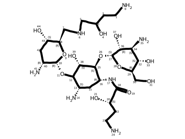 NCCC(O)CNC[C@H]1O[C@H](OC2[C@@H](N)C[C@@H](NC(=O)[C@@H](O)CCN)[C@H](O[C@H]3O[C@H](CO)[C@@H](O)[C@H](N)[C@H]3O)[C@H]2O)[C@H](N)C[C@@H]1O